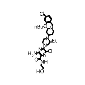 CCCCOc1cc(Cl)ccc1CN1CCC(N2CCN(c3nc(N)c(C(=O)NCCO)nc3Cl)C[C@@H]2CC)CC1